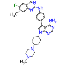 Cc1cc2nc(Nc3ccc(-c4cn([C@H]5CC[C@@H](N6CCN(C)CC6)CC5)c5ncnc(N)c45)cc3)ncc2cc1F